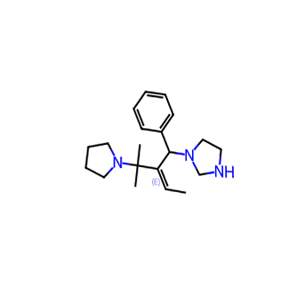 C/C=C(\C(c1ccccc1)N1CCNC1)C(C)(C)N1CCCC1